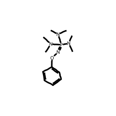 CN(C)P(=NOc1ccccc1)(N(C)C)N(C)C